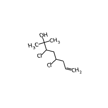 C=CCC(Cl)CC(Cl)C(C)(C)O